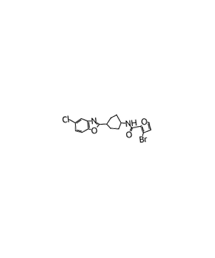 O=C(NC1CCC(c2nc3cc(Cl)ccc3o2)CC1)c1occc1Br